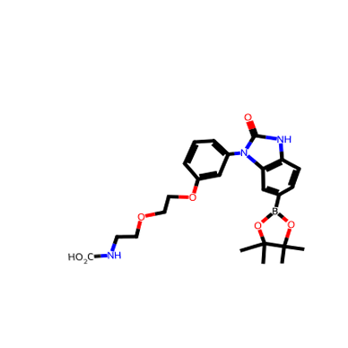 CC1(C)OB(c2ccc3[nH]c(=O)n(-c4cccc(OCCOCCNC(=O)O)c4)c3c2)OC1(C)C